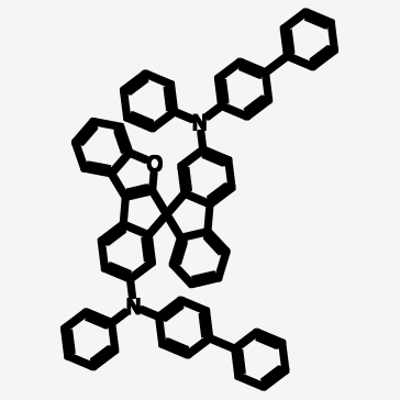 c1ccc(-c2ccc(N(c3ccccc3)c3ccc4c(c3)C3(c5ccccc5-4)c4cc(N(c5ccccc5)c5ccc(-c6ccccc6)cc5)ccc4-c4c3oc3ccccc43)cc2)cc1